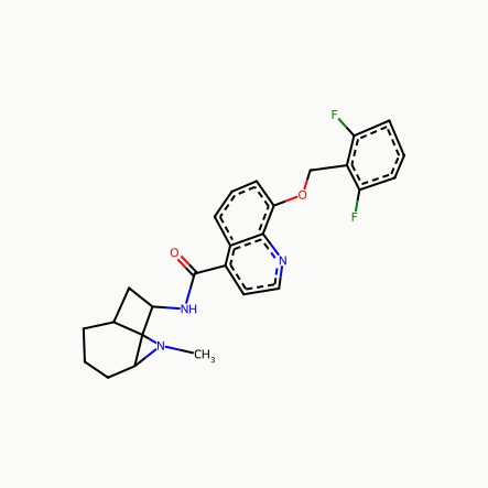 CN1C2CCCC3CC(NC(=O)c4ccnc5c(OCc6c(F)cccc6F)cccc45)C321